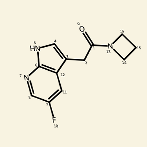 O=C(Cc1c[nH]c2ncc(F)cc12)N1CCC1